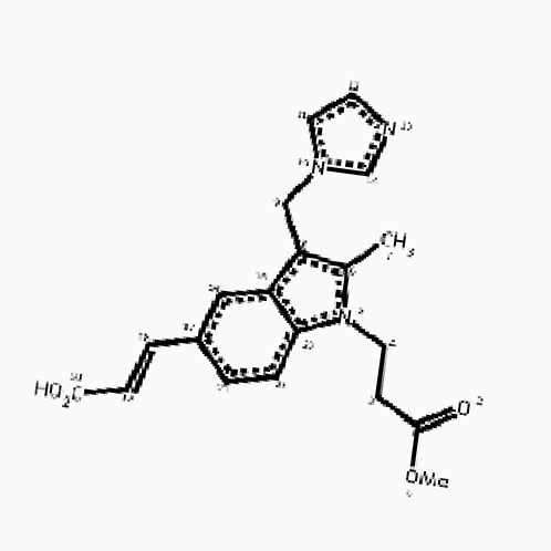 COC(=O)CCn1c(C)c(Cn2ccnc2)c2cc(/C=C/C(=O)O)ccc21